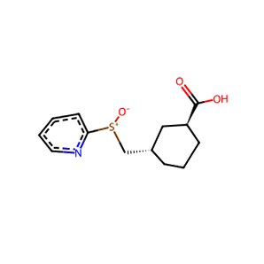 O=C(O)[C@H]1CCC[C@H](C[S+]([O-])c2ccccn2)C1